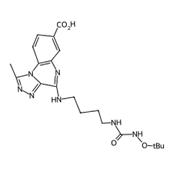 Cc1nnc2c(NCCCCNC(=O)NOC(C)(C)C)nc3cc(C(=O)O)ccc3n12